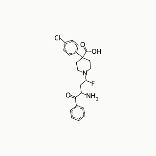 NC(CC(F)N1CCC(C(=O)O)(c2ccc(Cl)cc2)CC1)C(=O)c1ccccc1